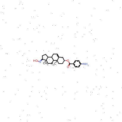 C[C@]12CC[C@H](OC(=O)c3ccc(N)cc3)CC1=CCC1C2CC[C@]2(C)/C(=N/O)CCC12